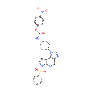 O=C(NC1CCC(n2cnc3cnc4c(ccn4S(=O)(=O)c4ccccc4)c32)CC1)Oc1ccc([N+](=O)[O-])cc1